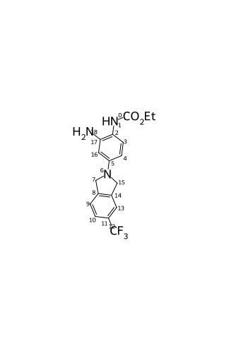 CCOC(=O)Nc1ccc(N2Cc3ccc(C(F)(F)F)cc3C2)cc1N